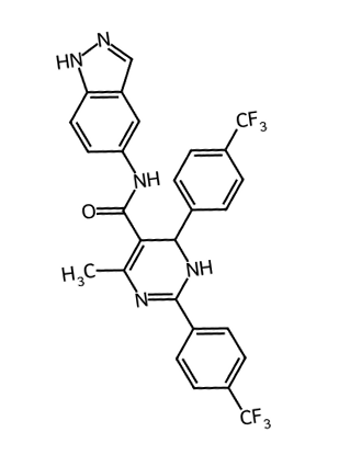 CC1=C(C(=O)Nc2ccc3[nH]ncc3c2)C(c2ccc(C(F)(F)F)cc2)NC(c2ccc(C(F)(F)F)cc2)=N1